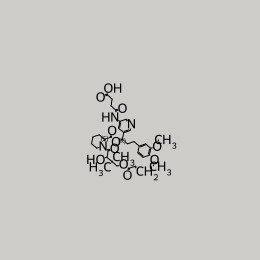 C=CC(=O)OCC(C)(C)C(O)C(=O)N1CCCC[C@H]1C(=O)O[C@H](CCc1ccc(OC)c(OC)c1)c1cncc(NC(=O)CCC(=O)O)c1